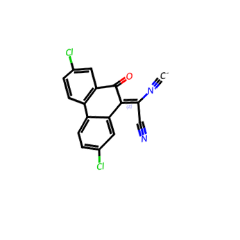 [C-]#[N+]/C(C#N)=C1\C(=O)c2cc(Cl)ccc2-c2ccc(Cl)cc21